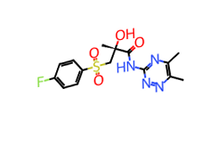 Cc1nnc(NC(=O)[C@@](C)(O)CS(=O)(=O)c2ccc(F)cc2)nc1C